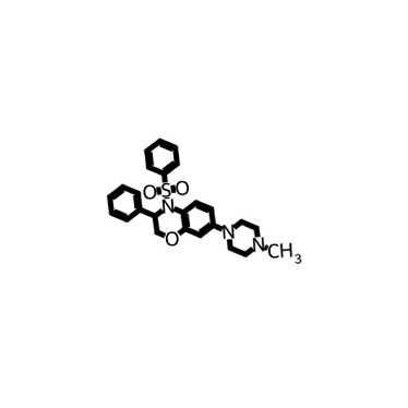 CN1CCN(c2ccc3c(c2)OCC(c2ccccc2)N3S(=O)(=O)c2ccccc2)CC1